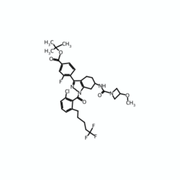 COC1CN(C(=O)NC2CCc3c(-c4ccc(C(=O)OC(C)(C)C)cc4F)nn(C(=O)c4c(Cl)cccc4CCCCC(F)(F)F)c3C2)C1